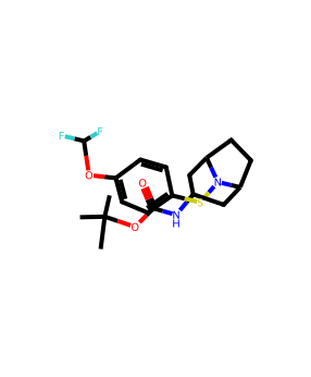 CC(C)(C)OC(=O)NC1CC2CCC(C1)N2Sc1ccc(OC(F)F)cc1